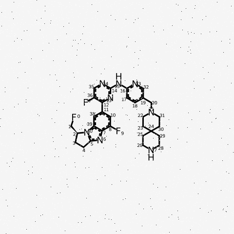 FC[C@@H]1CCc2nc3c(F)cc(-c4nc(Nc5ccc(CN6CCC7(CCNCC7)CC6)cn5)ncc4F)cc3n21